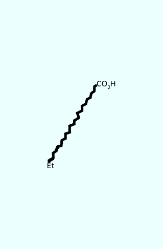 CCC=CCC=CCCCCCCCCCCCCCCCCCCC(=O)O